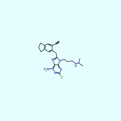 C#Cc1cc2c(cc1Cc1nc3c(N)nc(Cl)nc3n1CCCNC(C)C)CCC2